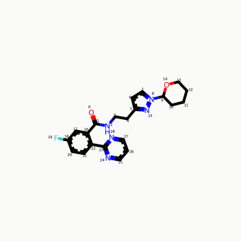 O=C(NCCc1ccn(C2CCCCO2)n1)c1cc(F)ccc1-c1ncccn1